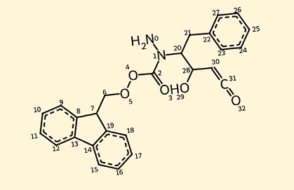 NN(C(=O)OOCC1c2ccccc2-c2ccccc21)C(Cc1ccccc1)C(O)C=C=O